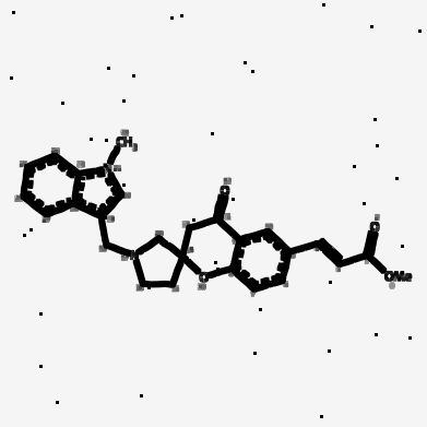 COC(=O)/C=C/c1ccc2c(c1)C(=O)CC1(CCN(Cc3cn(C)c4ccccc34)C1)O2